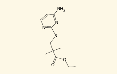 CCOC(=O)C(C)(C)CSc1nccc(N)n1